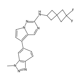 Cn1nnc2ccc(-c3ccn4nc(NC5CC6(C5)CC(F)(F)C6)ncc34)cc21